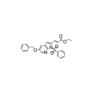 CCOC(=O)/C=C/c1cc2cc(OCc3ccccc3)cnc2n1S(=O)(=O)c1ccccc1